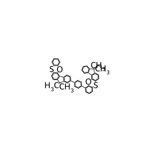 CC1(C)c2cc(-c3ccc(-c4cccc5c4Oc4c(ccc6c4-c4ccccc4C6(C)C)S5)cc3)ccc2-c2c1ccc1c2Oc2ccccc2S1